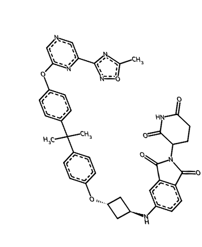 Cc1nc(-c2cncc(Oc3ccc(C(C)(C)c4ccc(O[C@H]5C[C@H](Nc6ccc7c(c6)C(=O)N(C6CCC(=O)NC6=O)C7=O)C5)cc4)cc3)n2)no1